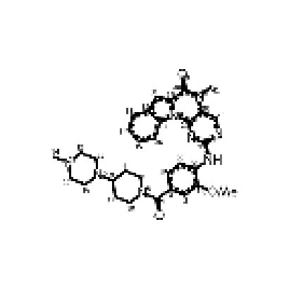 COc1cc(C(=O)N2CCC(N3CCN(C)CC3)CC2)ccc1Nc1ncc2c(n1)n1c(cc3ccccc31)c(=O)n2C